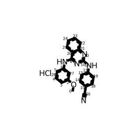 COc1cccc(Nc2nc(Nc3ccc(C#N)cc3)nc3ccccc23)c1.Cl